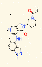 C=CC(=O)N1CCCC(N2Cc3cncc(Nc4c(C)ccc5[nH]ncc45)c3C2=O)C1